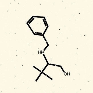 CC(C)(C)C(CO)NCc1ccccc1